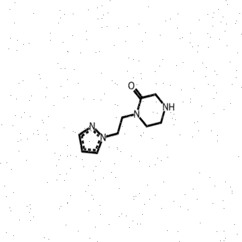 O=C1CNCCN1CCn1cccn1